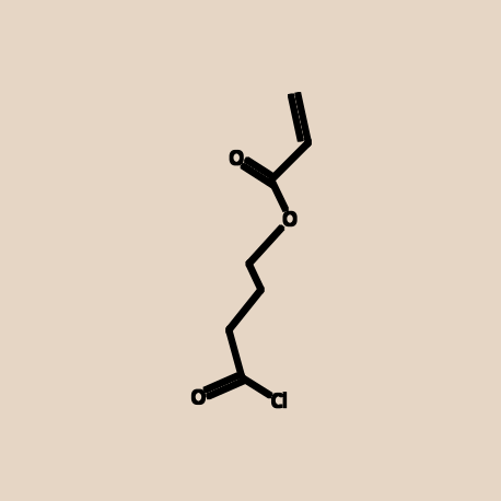 C=CC(=O)OCCCC(=O)Cl